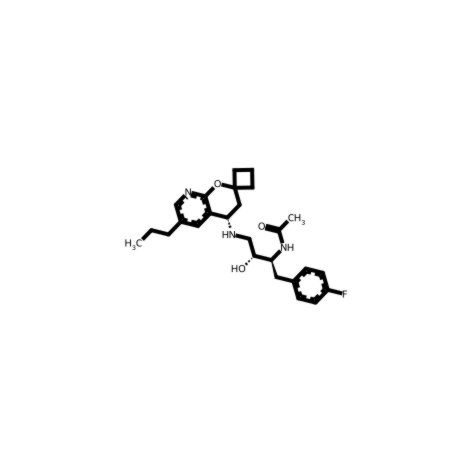 CCCc1cnc2c(c1)[C@@H](NC[C@@H](O)[C@H](Cc1ccc(F)cc1)NC(C)=O)CC1(CCC1)O2